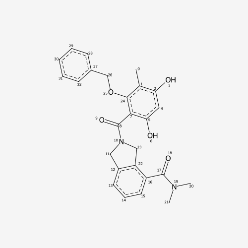 Cc1c(O)cc(O)c(C(=O)N2Cc3cccc(C(=O)N(C)C)c3C2)c1OCc1ccccc1